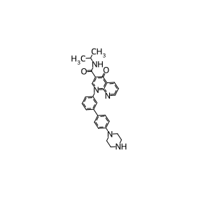 CC(C)NC(=O)c1cn(-c2cccc(-c3ccc(N4CCNCC4)cc3)c2)c2ncccc2c1=O